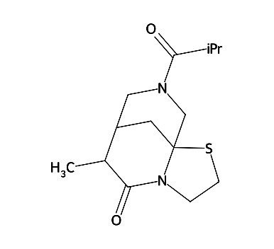 CC(C)C(=O)N1CC2CC3(C1)SCCN3C(=O)C2C